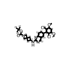 COc1cc(OC)c(Cl)c(-c2ccc3nc(NC4CC5(C4)CN(C(=O)OC(C)(C)C)C5)ncc3c2)c1Cl